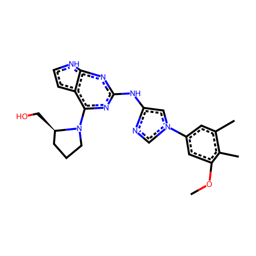 COc1cc(-n2cnc(Nc3nc(N4CCC[C@H]4CO)c4cc[nH]c4n3)c2)cc(C)c1C